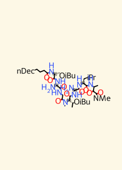 CCCCCCCCCCCCCC(=O)N[C@H](COCC(C)C)C(=O)N[C@H](N)C(=O)NCC(=O)N(C)[C@H](C(=O)N[C@@H](N)C(=O)N[C@@H](CC(C)C)C(=O)NC(C)C(=O)C(=O)NC)C(C)OCC(C)C